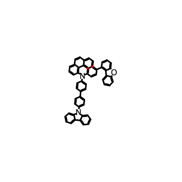 c1ccc2c(c1)ccc1cccc(N(c3ccc(-c4ccc(-n5c6ccccc6c6ccccc65)cc4)cc3)c3ccc(-c4cccc5oc6ccccc6c45)cc3)c12